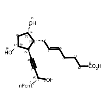 CCCCC[C@@H](O)C#C[C@@H]1[C@@H](CC=CCCCC(=O)O)[C@@H](O)C[C@H]1O